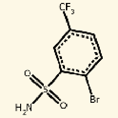 NS(=O)(=O)c1cc(C(F)(F)F)ccc1Br